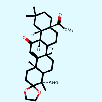 COC(=O)[C@]12CCC(C)(C)C[C@H]1[C@H]1C(=O)C=C3[C@@]4(C)CCC5(OCCO5)[C@@](C)(C=O)C4CC[C@@]3(C)[C@]1(C)CC2